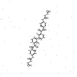 Cc1c(C(=O)Nc2ccc(CNCCO)cn2)cccc1-c1cccc(C(=O)Nc2ccc(CNCCO)cn2)c1C